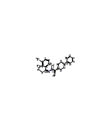 Fc1ccnc2c1OCC/C2=N/NC(=S)N1CCN(c2ccccn2)CC1